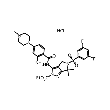 CCOC(=O)n1nc2c(c1NC(=O)c1ccc(N3CCN(C)CC3)cc1N)CN(S(=O)(=O)c1cc(F)cc(F)c1)C2(C)C.Cl